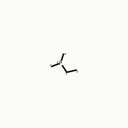 CCP(C)C